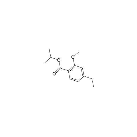 CCc1ccc(C(=O)OC(C)C)c(OC)c1